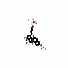 COc1ccc2c(c1)CC[C@@H]1[C@@H]2CC[C@]2(C)C(=O)CC(CCCCCOC(N)=O)[C@@H]12